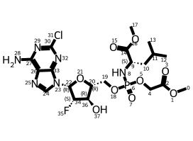 COC(=O)COP(=O)(N[C@@H](CC(C)C)C(=O)OC)OC[C@H]1O[C@@H](n2cnc3c(N)nc(Cl)nc32)[C@@H](F)[C@@H]1O